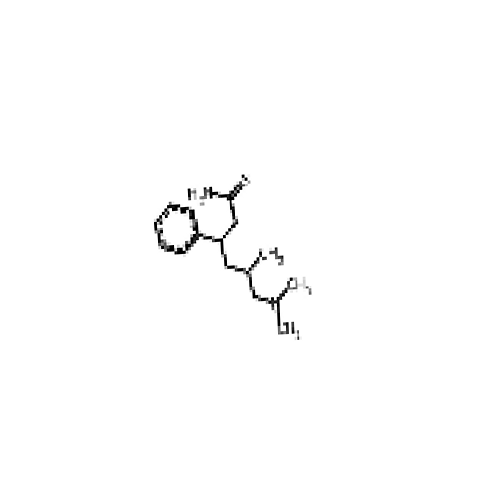 CC(CC(CC(N)=S)c1ccccc1)CN(C)C